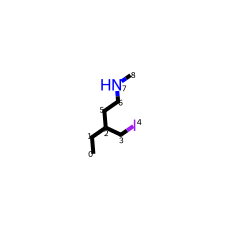 CCC(CI)CCNC